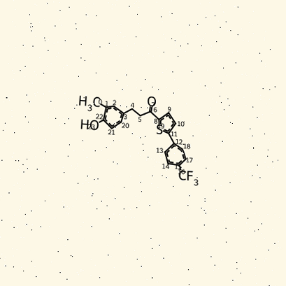 Cc1cc(CCC(=O)c2ccc(-c3ccc(C(F)(F)F)cc3)s2)ccc1O